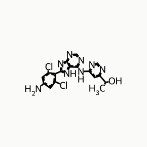 CC(O)c1cc(Nc2ncnc3nc(-c4c(Cl)cc(N)cc4Cl)[nH]c23)ncn1